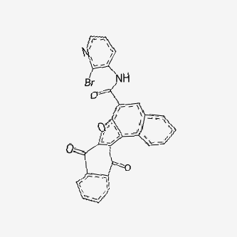 O=C1c2ccccc2C(=O)c2c1oc1c(C(=O)Nc3cccnc3Br)cc3ccccc3c21